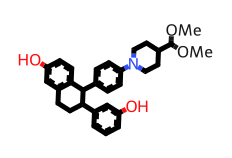 COC(OC)C1CCN(c2ccc(C3c4ccc(O)cc4CCC3c3cccc(O)c3)cc2)CC1